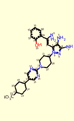 N/C(=C\c1c(N)c(N)nn1C1CCN(c2ncc(C3CCC(C(=O)O)CC3)cn2)CC1)c1ccccc1O